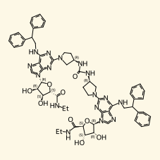 CCNC(=O)[C@H]1O[C@@H](n2cnc3c(NCC(c4ccccc4)c4ccccc4)nc(N4CC[C@@H](NC(=O)N[C@@H]5CCN(c6nc(NCC(c7ccccc7)c7ccccc7)c7ncn([C@@H]8O[C@H](C(=O)NCC)[C@@H](O)[C@H]8O)c7n6)C5)C4)nc32)[C@H](O)[C@@H]1O